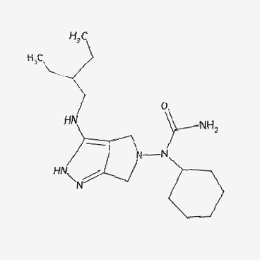 CCC(CC)CNc1[nH]nc2c1CN(N(C(N)=O)C1CCCCC1)C2